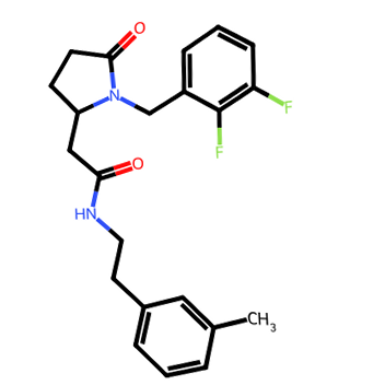 Cc1cccc(CCNC(=O)CC2CCC(=O)N2Cc2cccc(F)c2F)c1